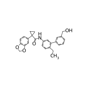 CCc1ccc(NC(=O)C2(c3ccc4c(c3)OCO4)CC2)cc1-c1cccc(CO)c1